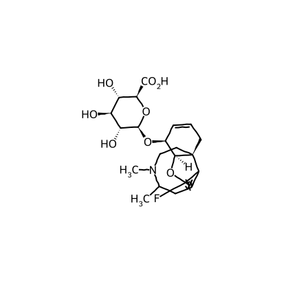 CC1Cc2ccc(F)c3c2[C@@]2(CC=C[C@H](O[C@@H]4O[C@H](C(=O)O)[C@@H](O)[C@H](O)[C@H]4O)[C@@H]2O3)CCN1C